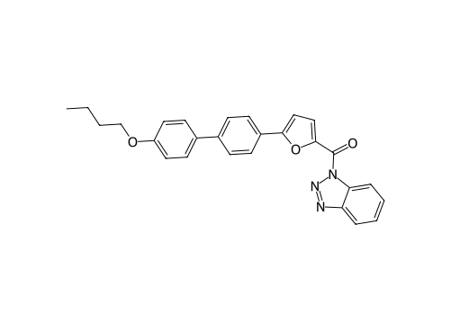 CCCCOc1ccc(-c2ccc(-c3ccc(C(=O)n4nnc5ccccc54)o3)cc2)cc1